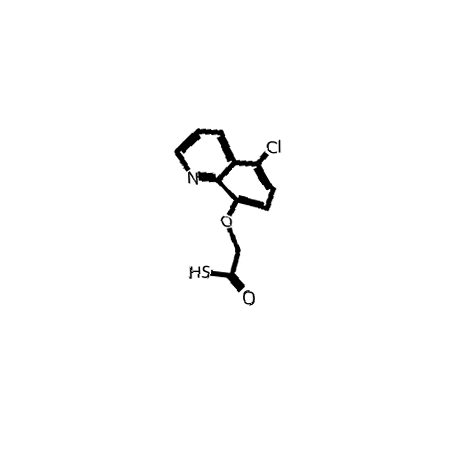 O=C(S)COc1ccc(Cl)c2cccnc12